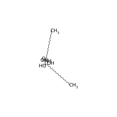 CCCCCCCCCCCCCCCCCC[C@@H](O)[C@@H](O)[C@H](CO)NC(=O)CCCCCCCCCCCCCCCCC